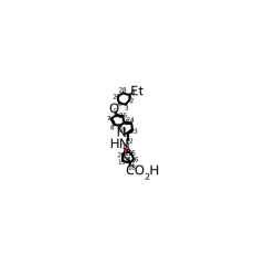 CC[C@H]1CC[C@H](Oc2ccc3nc(CNC45CCC(C(=O)O)(CC4)CC5)ccc3c2)CC1